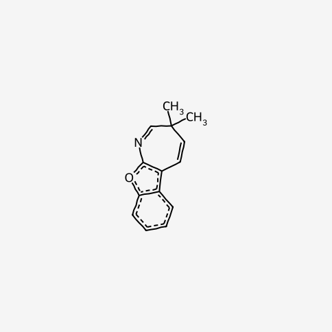 CC1(C)C=Cc2c(oc3ccccc23)N=C1